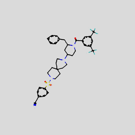 N#Cc1ccc(S(=O)(=O)N2CCC3(CCN(C4CCN(C(=O)c5cc(C(F)(F)F)cc(C(F)(F)F)c5)C(Cc5ccccc5)C4)CC3)CC2)cc1